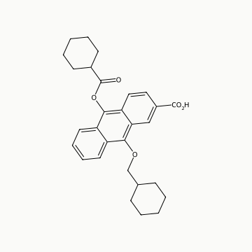 O=C(O)c1ccc2c(OC(=O)C3CCCCC3)c3ccccc3c(OCC3CCCCC3)c2c1